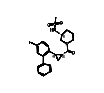 CS(=O)(=O)N[C@@H]1CCCN(C(=O)[C@@H]2C[C@H]2c2ccc(F)cc2-c2ccccc2)C1